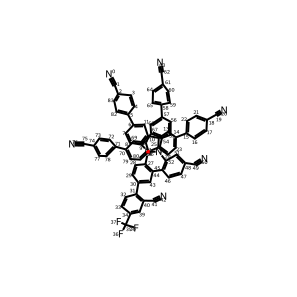 N#Cc1ccc(-c2ccc3c(c2)c2cc(-c4ccc(C#N)cc4)ccc2n3-c2ccc(-c3ccc(C(F)(F)F)cc3C#N)cc2-c2ccc(C#N)cc2-n2c3ccc(-c4ccc(C#N)cc4)cc3c3cc(-c4ccc(C#N)cc4)ccc32)cc1